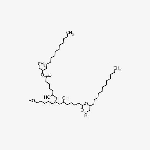 CCCCCCCCCCCCC(CC)OC(=O)CCCCC(O)CN(CCCCCO)CC(O)CCCCC(=O)OC(CC)CCCCCCCCCCCC